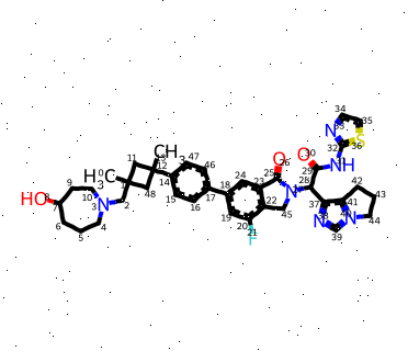 CC1(CN2CCCC(O)CC2)CC(C)(c2ccc(-c3cc(F)c4c(c3)C(=O)N(C(C(=O)Nc3nccs3)c3ncn5c3CCC5)C4)cc2)C1